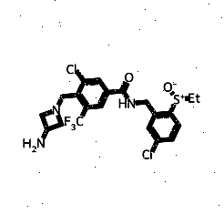 CC[S+]([O-])c1ccc(Cl)cc1CNC(=O)c1cc(Cl)c(CN2CC(N)C2)c(C(F)(F)F)c1